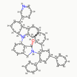 O=C1c2c(cccc2-n2c3ccccc3c3c(-c4cccnc4)cccc32)CN1c1c(-c2ccccc2)cc(-c2ccccc2)cc1-c1ccccc1